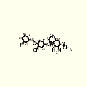 COc1cc2ncnc(Nc3ccc(OCc4cccc(F)c4)c(Cl)c3)c2cc1N